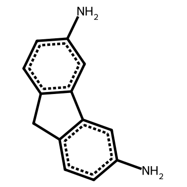 Nc1ccc2c(c1)-c1cc(N)ccc1C2